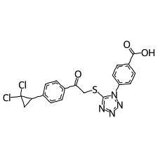 O=C(O)c1ccc(-n2nnnc2SCC(=O)c2ccc(C3CC3(Cl)Cl)cc2)cc1